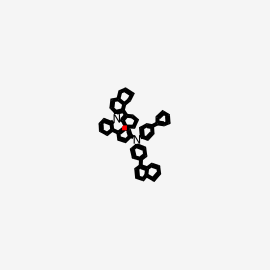 C1=CCC(c2ccc(N(c3ccc(C4=C5C=CC=CC5CC=C4)cc3)c3ccc(-c4ccccc4)cc3)cc2)C(n2c3c(c4c2CCCC4)C2CC=CCC2C=C3)=C1